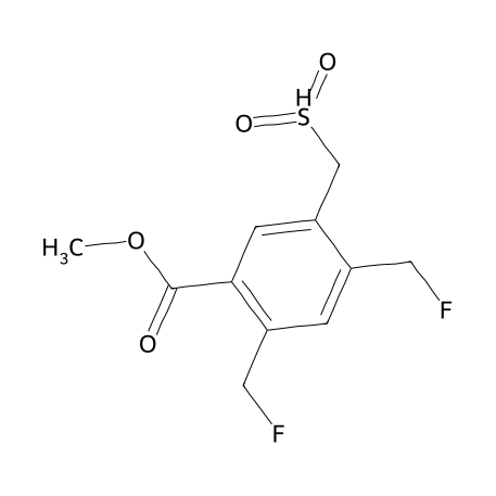 COC(=O)c1cc(C[SH](=O)=O)c(CF)cc1CF